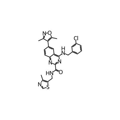 Cc1ncsc1CNC(=O)c1nc(NCc2cccc(Cl)c2)c2cc(-c3c(C)noc3C)ccc2n1